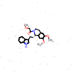 COCC(=O)N1CCc2cc(OC)c(OC)cc2[C@@H]1CCc1c[nH]c2ccccc12